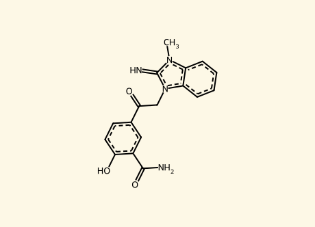 Cn1c(=N)n(CC(=O)c2ccc(O)c(C(N)=O)c2)c2ccccc21